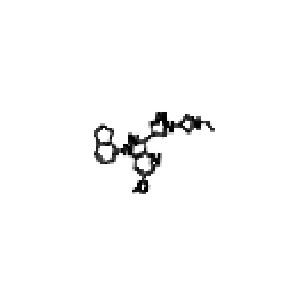 CCN1CC(n2cc(-c3nn(-c4cccc5c4CCC5)c4cc(OC)cnc34)cn2)C1